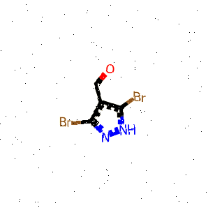 O=Cc1c(Br)n[nH]c1Br